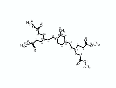 COC(=O)CCN(CCC(=O)OC)CCN1CCN(CCN(CCC(=O)OC)CCC(=O)OC)[C@@H](C)C1